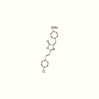 COc1ccc(C=C2N=C(C=Cc3ccc(Cl)cc3)OC2=O)cc1